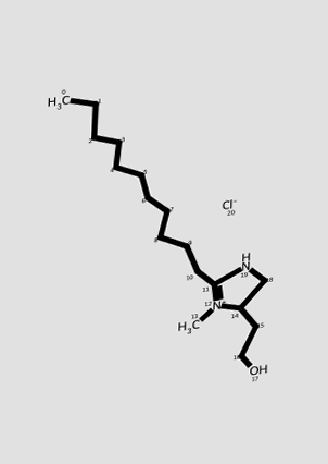 CCCCCCCCCCCC1=[N+](C)C(CCO)CN1.[Cl-]